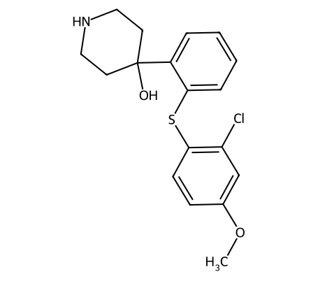 COc1ccc(Sc2ccccc2C2(O)CCNCC2)c(Cl)c1